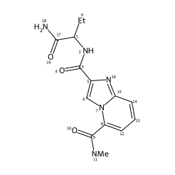 CCC(NC(=O)c1cn2c(C(=O)NC)cccc2n1)C(N)=O